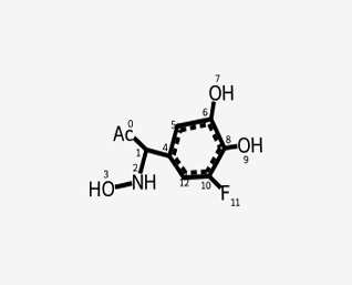 CC(=O)C(NO)c1cc(O)c(O)c(F)c1